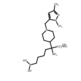 Cc1cc(CN2CCC(C(N)(CCCCB(O)O)C(=O)O)CC2)n(C)n1.Cl.Cl